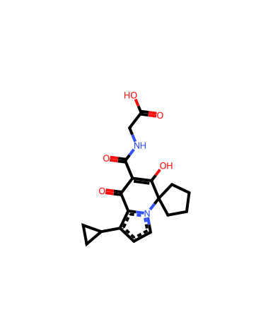 O=C(O)CNC(=O)C1=C(O)C2(CCCC2)n2ccc(C3CC3)c2C1=O